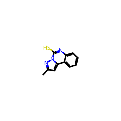 Cc1cc2c3ccccc3nc(S)n2n1